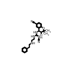 CC1(C)Oc2ccc(C#N)cc2C(NC(=NC#N)NCCNCCc2ccccc2)C1O